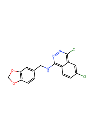 Clc1ccc2c(NCc3ccc4c(c3)OCO4)nnc(Cl)c2c1